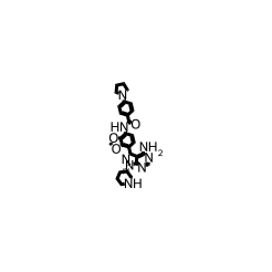 Nc1ncnc2c1c(-c1ccc(NC(=O)c3ccc(N4CCCC4)cc3)c3c1OCO3)nn2[C@@H]1CCCNC1